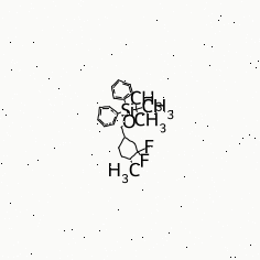 CC1CCC(CO[Si](c2ccccc2)(c2ccccc2)C(C)(C)C)CC1(F)F